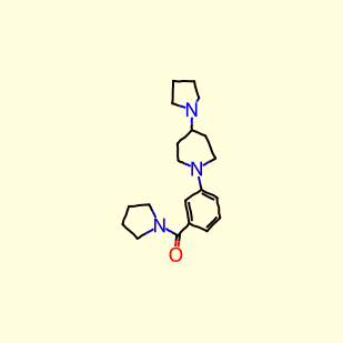 O=C(c1cccc(N2CCC(N3CCCC3)CC2)c1)N1CCCC1